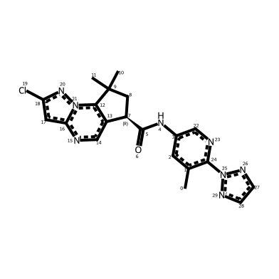 Cc1cc(NC(=O)[C@@H]2CC(C)(C)c3c2cnc2cc(Cl)nn32)cnc1-n1nccn1